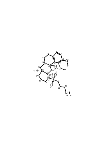 COc1ccc2c(c1OC)[C@@H]1C[C@@H]3[C@@H](CCCN3S(=O)(=O)CCCN)CN1CC2